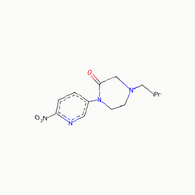 C[C](C)CN1CCN(c2ccc([N+](=O)[O-])nc2)C(=O)C1